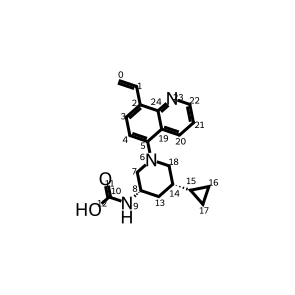 C=Cc1ccc(N2C[C@@H](NC(=O)O)C[C@@H](C3CC3)C2)c2cccnc12